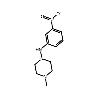 CN1CCN(Nc2cccc([N+](=O)[O-])c2)CC1